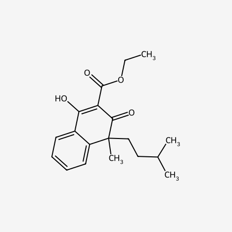 CCOC(=O)C1=C(O)c2ccccc2C(C)(CCC(C)C)C1=O